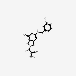 C[C@@H](C(N)=O)N1C=C2C=C(OCc3cccc(F)c3)CC(=O)C2C1